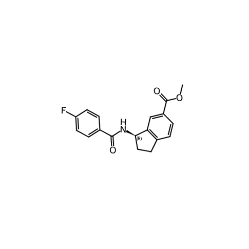 COC(=O)c1ccc2c(c1)[C@H](NC(=O)c1ccc(F)cc1)CC2